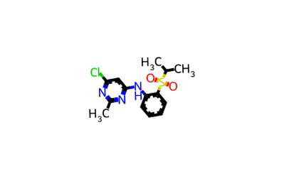 Cc1nc(Cl)cc(Nc2ccccc2S(=O)(=O)C(C)C)n1